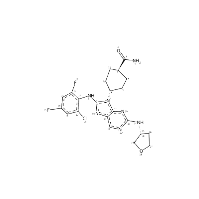 NC(=O)[C@H]1CC[C@H](n2c(Nc3c(F)cc(F)cc3Cl)nc3cnc(N[C@@H]4CCOC4)nc32)CC1